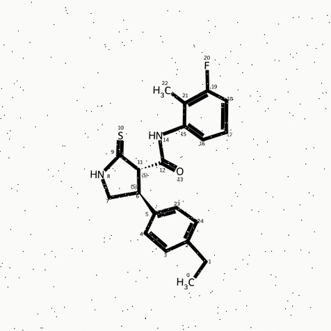 CCc1ccc([C@H]2CNC(=S)[C@@H]2C(=O)Nc2cccc(F)c2C)cc1